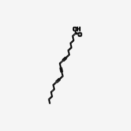 CCCCCCC#CCC#CCC#CCCCCCCC(=O)O